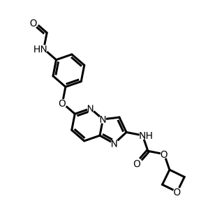 O=CNc1cccc(Oc2ccc3nc(NC(=O)OC4COC4)cn3n2)c1